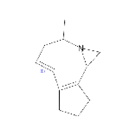 CC1C/C=C/C2=C(CCC2)C2CN12